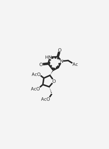 CC(=O)Cn1cc([C@@H]2O[C@H](COC(C)=O)C(OC(C)=O)C2OC(C)=O)c(=O)[nH]c1=O